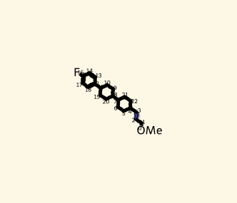 COC/C=C/C1CCC(C2CCC(c3ccc(F)cc3)CC2)CC1